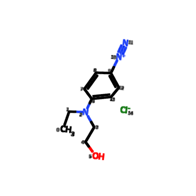 CCN(CCO)c1ccc([N+]#N)cc1.[Cl-]